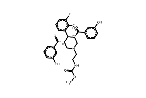 COC(=O)NCCN1C[C@H](C(=O)c2cccc(O)c2)C(c2cccc(F)c2C)[C@@H](C(=O)c2cccc(O)c2)C1